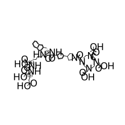 O=C(O)CC[C@H](NC(=O)N[C@@H](CCCCNC(=O)[C@H](Cc1ccc2ccccc2c1)NC(=O)c1ccc(C2CCN(C(=O)CN3CCN(CC(=O)O)CCN(CC(=O)O)CCN(CC(=O)O)CC3)CC2)cc1)C(=O)O)C(=O)O